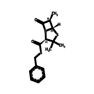 C[C@@H]1C(=O)N2[C@@H]1SC(C)(C)[C@@H]2C(=O)SCc1ccccc1